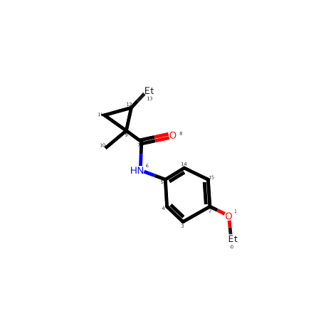 CCOc1ccc(NC(=O)C2(C)CC2CC)cc1